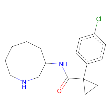 O=C(NC1CCCCCNC1)C1(c2ccc(Cl)cc2)CC1